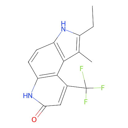 CCc1[nH]c2ccc3[nH]c(=O)cc(C(F)(F)F)c3c2c1C